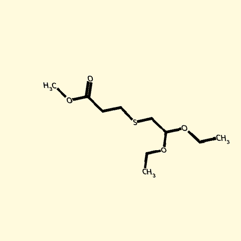 CCOC(CSCCC(=O)OC)OCC